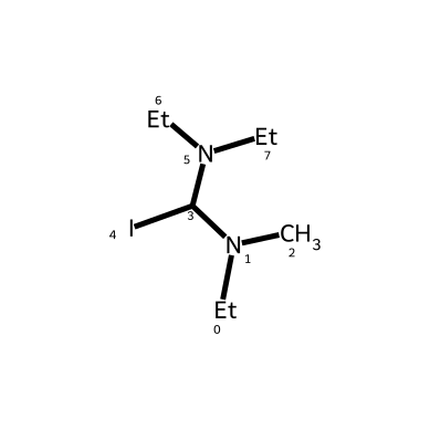 CCN(C)C(I)N(CC)CC